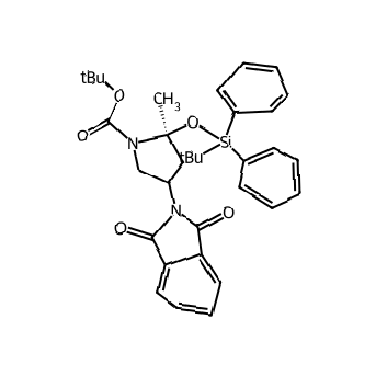 CC(C)(C)OC(=O)N1CC(N2C(=O)c3ccccc3C2=O)C[C@]1(C)O[Si](c1ccccc1)(c1ccccc1)C(C)(C)C